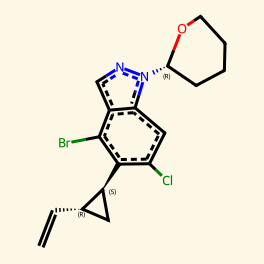 C=C[C@H]1C[C@@H]1c1c(Cl)cc2c(cnn2[C@H]2CCCCO2)c1Br